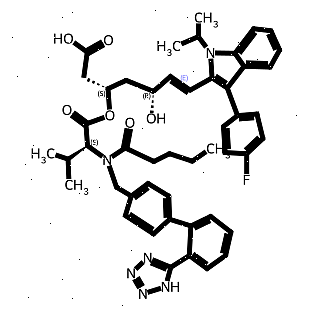 CCCCC(=O)N(Cc1ccc(-c2ccccc2-c2nnn[nH]2)cc1)[C@H](C(=O)O[C@H](CC(=O)O)C[C@@H](O)/C=C/c1c(-c2ccc(F)cc2)c2ccccc2n1C(C)C)C(C)C